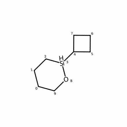 C1CC[SiH](C2CCC2)OC1